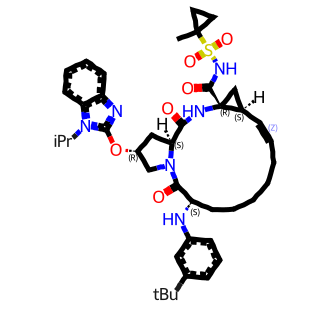 CC(C)n1c(O[C@@H]2C[C@H]3C(=O)N[C@]4(C(=O)NS(=O)(=O)C5(C)CC5)C[C@H]4/C=C\CCCCC[C@H](Nc4cccc(C(C)(C)C)c4)C(=O)N3C2)nc2ccccc21